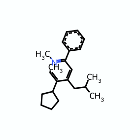 C\C=C(/C(=C\C(=N\C)c1ccccc1)CC(C)C)C1CCCC1